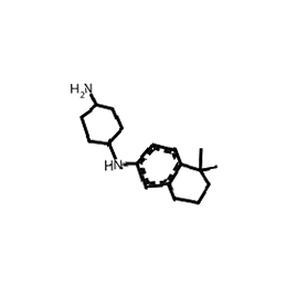 CC1(C)CCCc2cc(NC3CCC(N)CC3)ccc21